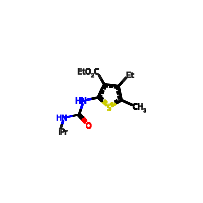 CCOC(=O)c1c(NC(=O)NC(C)C)sc(C)c1CC